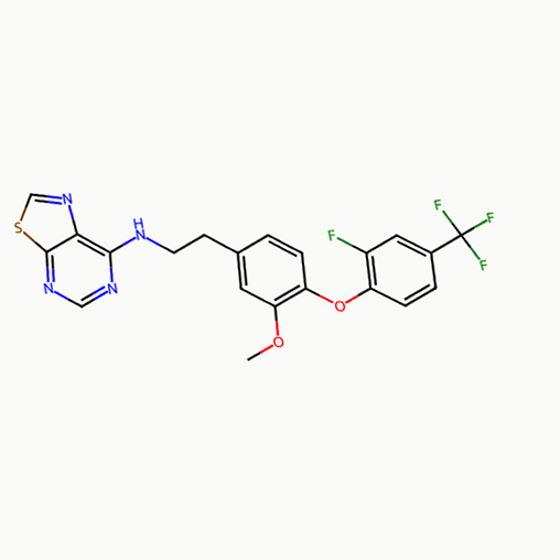 COc1cc(CCNc2ncnc3scnc23)ccc1Oc1ccc(C(F)(F)F)cc1F